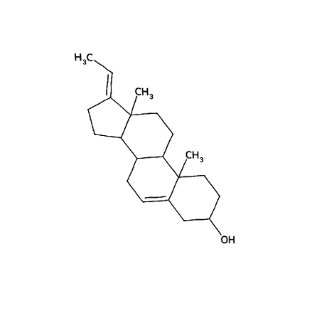 C/C=C1\CCC2C3CC=C4CC(O)CCC4(C)C3CCC12C